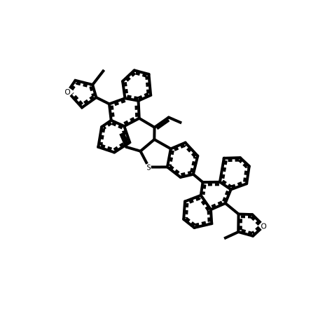 C=CC1Sc2cc(-c3c4ccccc4c(-c4cocc4C)c4ccccc34)ccc2C1/C(=C\C)c1c2ccccc2c(-c2cocc2C)c2ccccc12